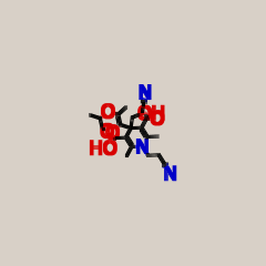 CC1=C(C2(CCC#N)C(C(=O)O)=C(C)N(CCC#N)C(C)=C2C(=O)O)OCC(C)O1